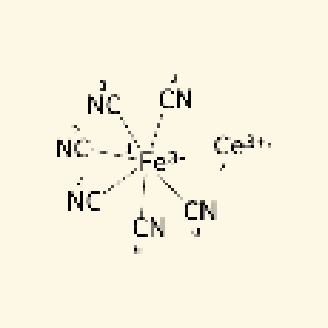 N#[C][Fe-3]([C]#N)([C]#N)([C]#N)([C]#N)[C]#N.[Ce+3]